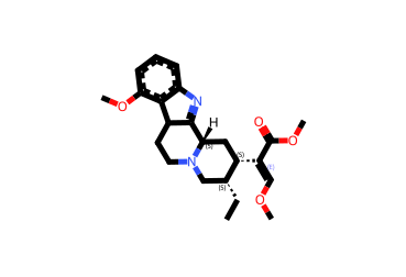 CC[C@@H]1CN2CCC3C(=Nc4cccc(OC)c43)[C@@H]2C[C@@H]1/C(=C\OC)C(=O)OC